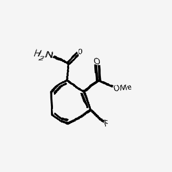 COC(=O)c1c(F)cccc1C(N)=O